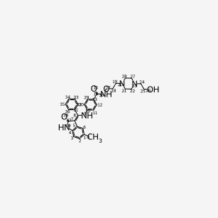 Cc1ccc2c(c1)C(=C(Nc1ccc(C(=O)NOCCN3CCN(CCO)CC3)cc1)c1ccccc1)C(=O)N2